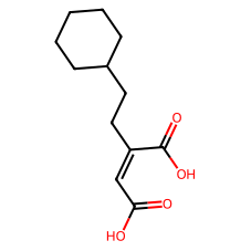 O=C(O)C=C(CCC1CCCCC1)C(=O)O